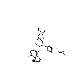 COCCn1cc([C@@H]2CN(CC(F)(F)F)CC[C@H]2Cc2c(C)cc(C)c3[nH]ccc23)cn1